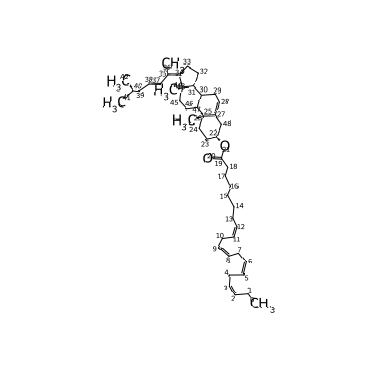 CC/C=C\C/C=C\C/C=C\C/C=C\CCCCCCC(=O)O[C@H]1CC[C@@]2(C)C(=CCC3C4CCC([C@H](C)CCCC(C)C)[C@@]4(C)CCC32)C1